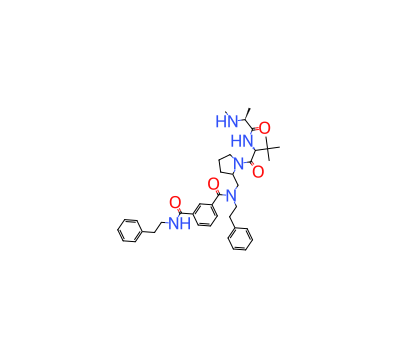 CN[C@@H](C)C(=O)N[C@H](C(=O)N1CCCC1CN(CCc1ccccc1)C(=O)c1cccc(C(=O)NCCc2ccccc2)c1)C(C)(C)C